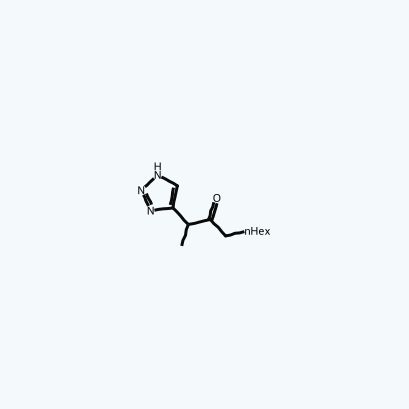 CCCCCCCC(=O)C(C)c1c[nH]nn1